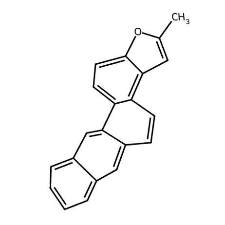 Cc1cc2c(ccc3c4cc5ccccc5cc4ccc23)o1